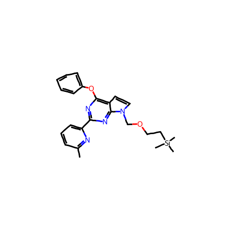 Cc1cccc(-c2nc(Oc3ccccc3)c3ccn(COCC[Si](C)(C)C)c3n2)n1